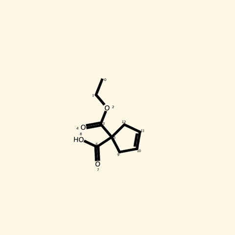 CCOC(=O)C1(C(=O)O)CC=CC1